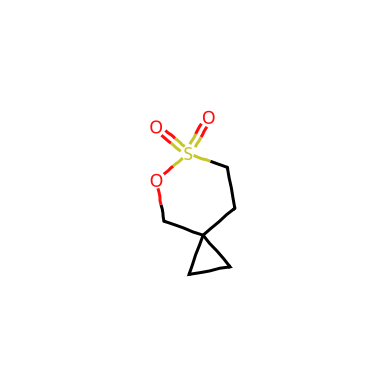 O=S1(=O)CCC2(CC2)CO1